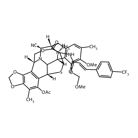 COCOc1c(OC)c(C)cc2c1[C@@H]1C3[C@@H]4SC[C@H](NC(=O)/C=C/c5ccc(C(F)(F)F)cc5)C(=O)OC[C@@H](c5c6c(c(C)c(OC(C)=O)c54)OCO6)N3[C@@H](C#N)[C@H](C2)N1C